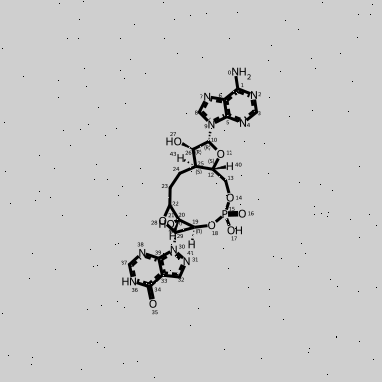 Nc1ncnc2c1ncn2[C@@H]1O[C@@H]2COP(=O)(O)O[C@@H]3[C@H](O)C(CC[C@H]2[C@H]1O)O[C@H]3n1ncc2c(=O)[nH]cnc21